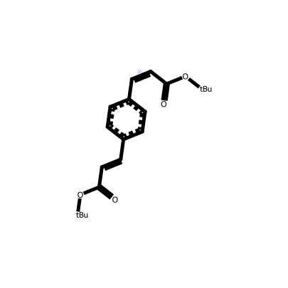 CC(C)(C)OC(=O)C=Cc1ccc(/C=C\C(=O)OC(C)(C)C)cc1